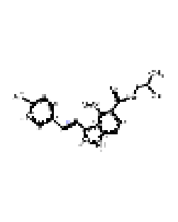 COc1c(C(=O)NCC(C)O)ccc2[nH]nc(/C=C/c3ccc(C(C)=O)nc3)c12